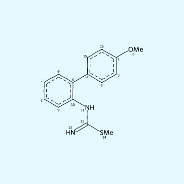 COc1ccc(-c2ccccc2NC(=N)SC)cc1